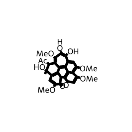 COC1=CC2=C3c4c(c(OC)c(O)c(O)c5cc(OC)c6c(OC)cc(=O)c(c6c45)C3C1=O)C(C(C)=O)C2(C)O